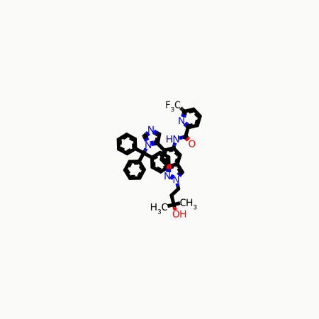 CC(C)(O)CCn1cc2cc(NC(=O)c3cccc(C(F)(F)F)n3)c(-c3cncn3C(c3ccccc3)(c3ccccc3)c3ccccc3)cc2n1